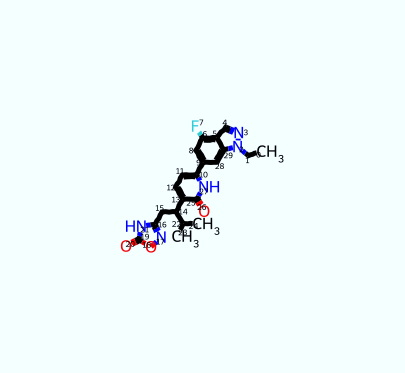 CCn1ncc2c(F)cc(-c3ccc(C(Cc4noc(=O)[nH]4)C(C)C)c(=O)[nH]3)cc21